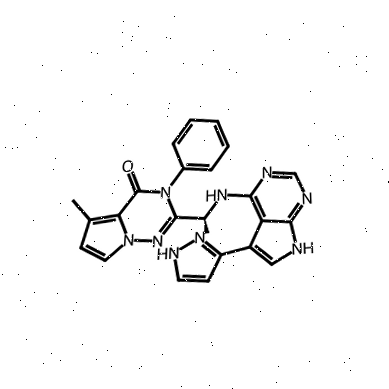 Cc1ccn2nc([C@H](C)Nc3ncnc4[nH]cc(-c5cc[nH]n5)c34)n(-c3ccccc3)c(=O)c12